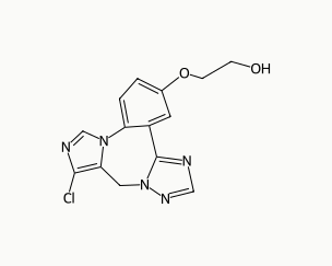 OCCOc1ccc2c(c1)-c1ncnn1Cc1c(Cl)ncn1-2